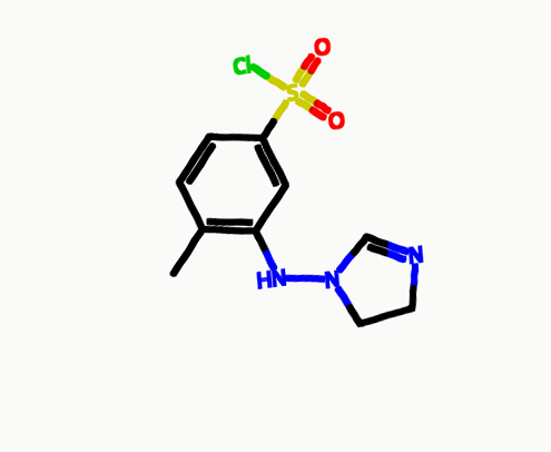 Cc1ccc(S(=O)(=O)Cl)cc1NN1C=NCC1